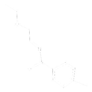 CCOCC=NC(=O)c1ccc(C)cc1